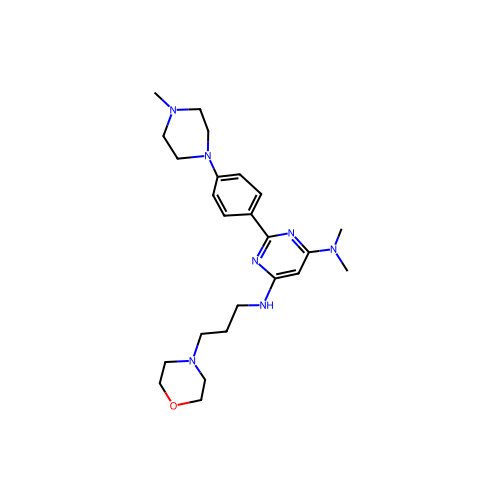 CN1CCN(c2ccc(-c3nc(NCCCN4CCOCC4)cc(N(C)C)n3)cc2)CC1